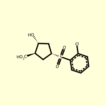 O=C(O)[C@@H]1C[C@@H](S(=O)(=O)c2ccccc2Cl)C[C@H]1O